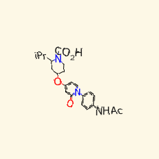 CC(=O)Nc1ccc(-n2ccc(OC3CCN(C(=O)O)C(C(C)C)C3)cc2=O)cc1